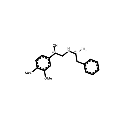 COc1ccc([C@@H](O)CN[C@H](C)Cc2ccccc2)cc1OC